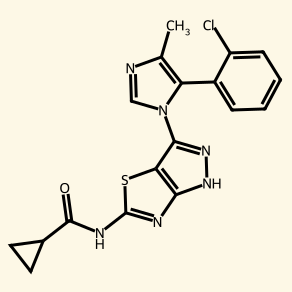 Cc1ncn(-c2n[nH]c3nc(NC(=O)C4CC4)sc23)c1-c1ccccc1Cl